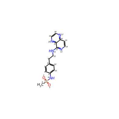 CS(=O)(=O)Nc1ccc(CCNc2nccc3nccnc23)cc1